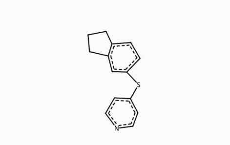 c1cc(Sc2ccc3c(c2)CCC3)ccn1